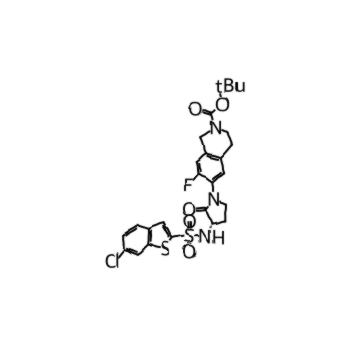 CC(C)(C)OC(=O)N1CCc2cc(N3CC[C@H](NS(=O)(=O)c4cc5ccc(Cl)cc5s4)C3=O)c(F)cc2C1